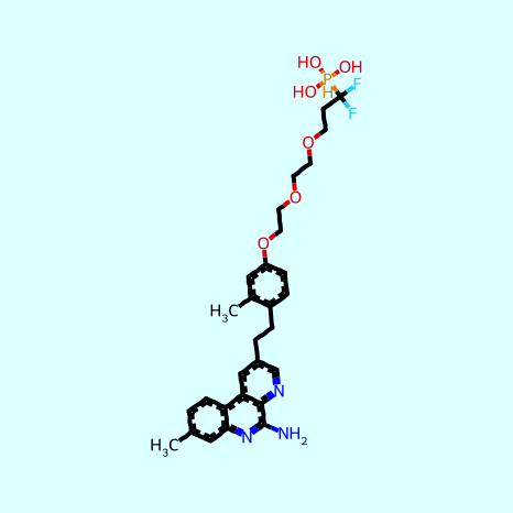 Cc1ccc2c(c1)nc(N)c1ncc(CCc3ccc(OCCOCCOCCC(F)(F)[PH](O)(O)O)cc3C)cc12